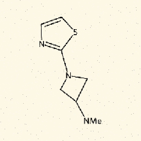 CNC1CN(c2nccs2)C1